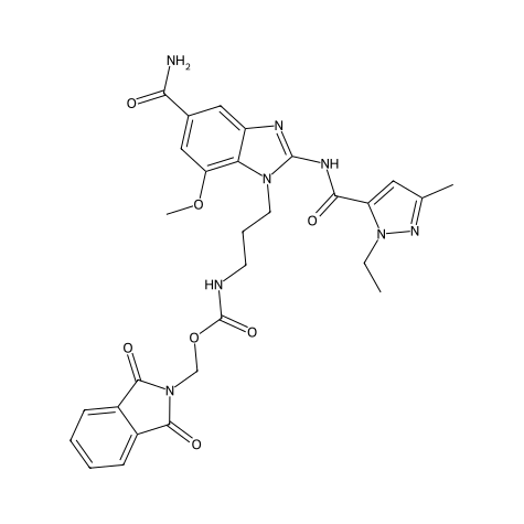 CCn1nc(C)cc1C(=O)Nc1nc2cc(C(N)=O)cc(OC)c2n1CCCNC(=O)OCN1C(=O)c2ccccc2C1=O